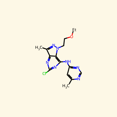 CCOCCn1nc(C)c2nc(Cl)nc(Nc3cc(C)ncn3)c21